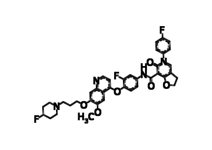 COc1cc2c(Oc3ccc(NC(=O)c4c5c(cn(-c6ccc(F)cc6)c4=O)CCO5)cc3F)ccnc2cc1OCCCN1CCC(F)CC1